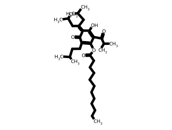 CCCCCCCCCCCC(=O)OC1=C(CCC(C)C)C(=O)C(=C(CC(C)C)CC(C)C)C(O)=C1C(=O)C(C)C